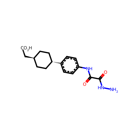 NNC(=O)C(=O)Nc1ccc([C@H]2CC[C@H](CC(=O)O)CC2)cc1